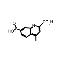 Cc1cc(C(=O)O)nc2cc(B(O)O)ccc12